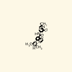 Cc1cn2cc(NC(=O)c3ccc(N4C[C@@H](C)N[C@@H](C)C4)c4nccnc34)cc(Cl)c2n1